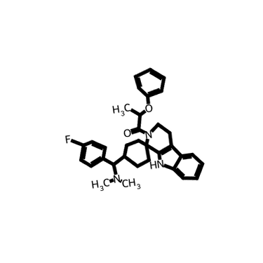 CC(Oc1ccccc1)C(=O)N1CCc2c([nH]c3ccccc23)C12CCC(C(c1ccc(F)cc1)N(C)C)CC2